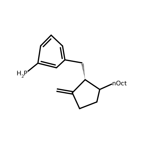 C=C1CCC(CCCCCCCC)[C@H]1Cc1cccc(P)c1